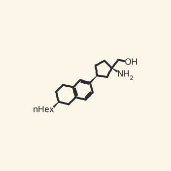 CCCCCC[C@H]1CCc2cc([C@H]3CC[C@](N)(CO)C3)ccc2C1